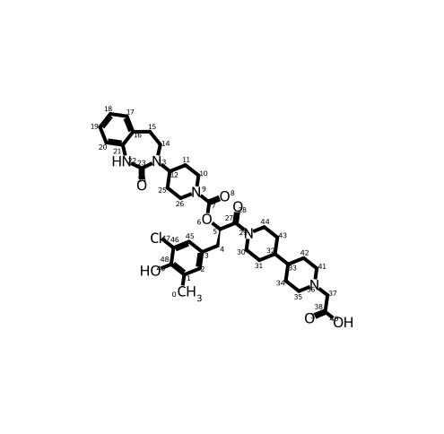 Cc1cc(C[C@@H](OC(=O)N2CCC(N3CCc4ccccc4NC3=O)CC2)C(=O)N2CCC(C3CCN(CC(=O)O)CC3)CC2)cc(Cl)c1O